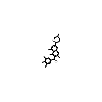 Cc1cc(C(=O)c2c(C)cc3cc(C4CCC(C)CO4)cc(C)c3c2C)cc(F)c1C